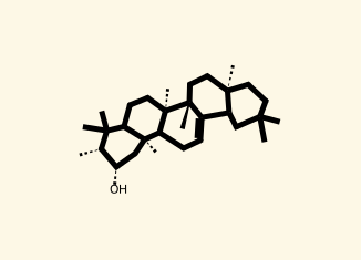 C[C@H]1[C@@H](O)C[C@@]2(C)C(CC[C@]3(C)C2CC=C2C4CC(C)(C)CC[C@]4(C)CC[C@]23C)C1(C)C